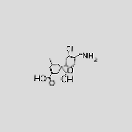 CC1=CC(C(=O)O)(c2ccc(CN)c(Cl)c2)CC(C(=O)O)=C1